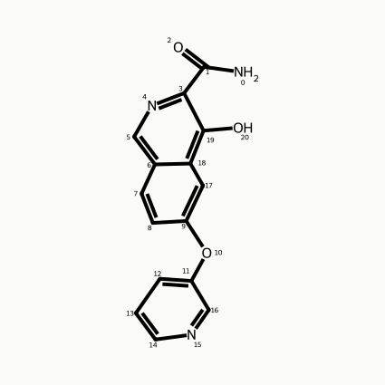 NC(=O)c1ncc2ccc(Oc3cccnc3)cc2c1O